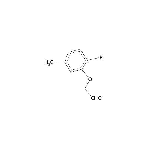 Cc1ccc(C(C)C)c(OC[C]=O)c1